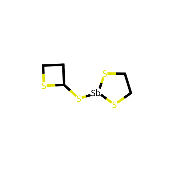 C1CC([S][Sb]2[S]CC[S]2)S1